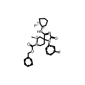 C[C@H]1CC2(CCN1C(=O)OCc1ccccc1)C(N[C@@H]1CCCC[C@H]1F)=NC(=O)N2c1cccc(F)c1